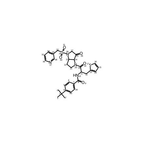 CC(C)(C)c1ccc(C(=O)NC(Cc2cccs2)C(=O)N2CCC3C2C(=O)CN3S(=O)(=O)Cc2cccnc2)cc1